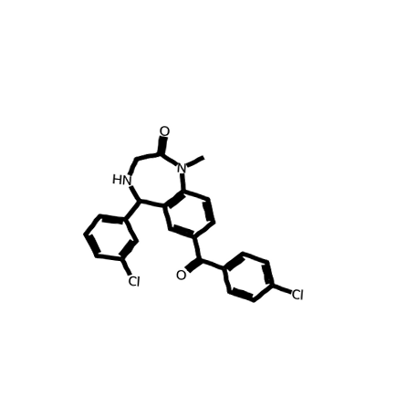 CN1C(=O)CNC(c2cccc(Cl)c2)c2cc(C(=O)c3ccc(Cl)cc3)ccc21